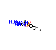 Cc1ccc(S(=O)(=O)n2ccc3nc(NN=NN)cnc32)cc1